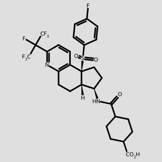 O=C(O)C1CCC(C(=O)N[C@@H]2CC[C@@]3(S(=O)(=O)c4ccc(F)cc4)c4ccc(C(F)(C(F)(F)F)C(F)(F)F)nc4CC[C@@H]23)CC1